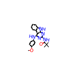 COc1ccc(Nc2nc(NC(=O)C(C)(C)C)nc3[nH]c4ccccc4c23)cc1